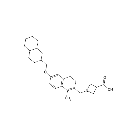 CC1=C(CN2CC(C(=O)O)C2)CCc2cc(OCC3CCC4CCCCC4C3)ccc21